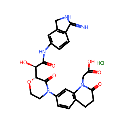 Cl.N=C1NCc2cc(NC(=O)[C@H](O)[C@H]3OCCN(c4ccc5c(c4)N(CC(=O)O)C(=O)CC5)C3=O)ccc21